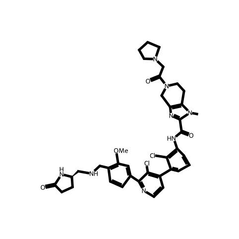 COc1cc(-c2nccc(-c3cccc(NC(=O)c4nc5c(n4C)CCN(C(=O)CN4CCCC4)C5)c3Cl)c2Cl)ccc1CNC[C@H]1CCC(=O)N1